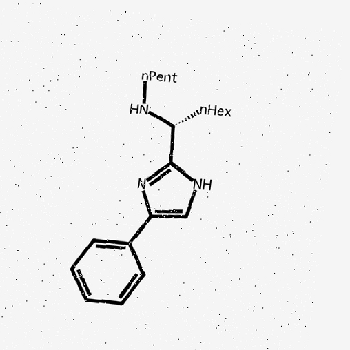 CCCCCC[C@@H](NCCCCC)c1nc(-c2ccccc2)c[nH]1